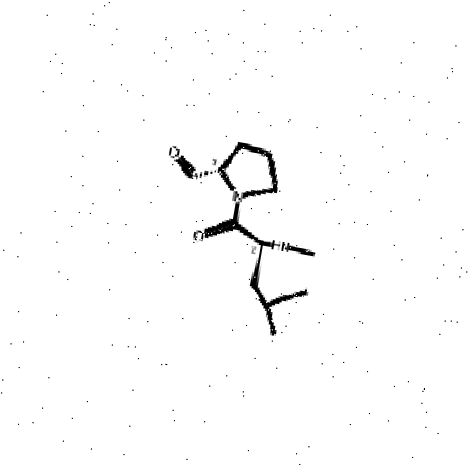 CN[C@@H](CC(C)C)C(=O)N1CCC[C@H]1C=O